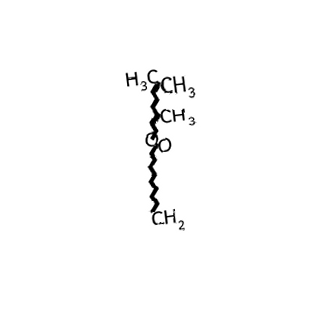 C=CCCCCCCCCC(=O)OC/C=C(\C)CCC=C(C)C